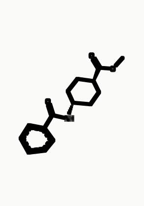 COC(=O)[C@H]1CC[C@H](NC(=O)c2ccccc2)CC1